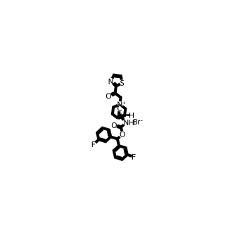 O=C(N[C@H]1C[N+]2(CC(=O)c3nccs3)CCC1CC2)OC(c1cccc(F)c1)c1cccc(F)c1.[Br-]